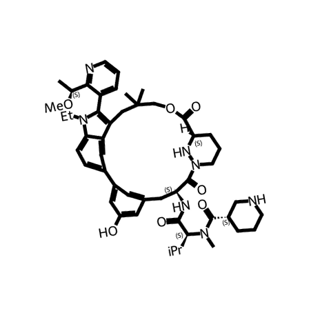 CCn1c(-c2cccnc2[C@H](C)OC)c2c3cc(ccc31)-c1cc(O)cc(c1)C[C@H](NC(=O)[C@H](C(C)C)N(C)C(=O)[C@H]1CCCNC1)C(=O)N1CCC[C@H](N1)C(=O)OCC(C)(C)C2